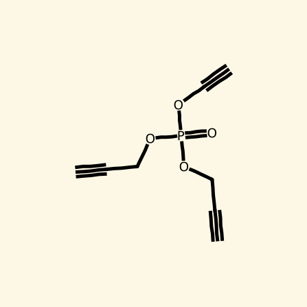 C#CCOP(=O)(OC#C)OCC#C